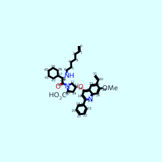 C=CCCCCCN[C@H](C(=O)N1C[C@H](Oc2cc(-c3ccccc3)nc3cc(OC)c(C=C)cc23)C[C@H]1C(=O)O)C1CCCCC1